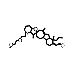 CCCC1(C)/C(=C\C=O)CCC2C3CCC4(CC(C)=C3CC21)OC1CCCN(CCOCCOC)C1C4C